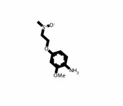 COc1cc(OCC[S+](C)[O-])ccc1N